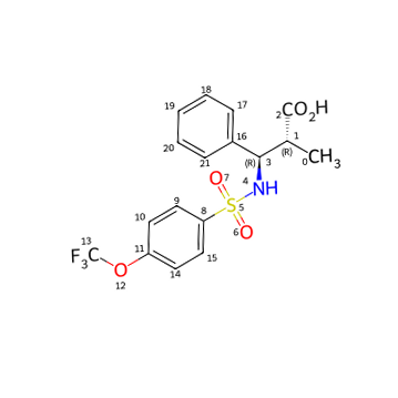 C[C@@H](C(=O)O)[C@@H](NS(=O)(=O)c1ccc(OC(F)(F)F)cc1)c1ccccc1